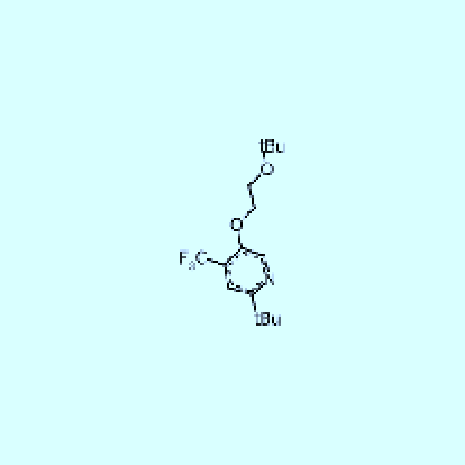 CC(C)(C)OCCOc1cnc(C(C)(C)C)cc1C(F)(F)F